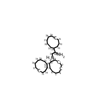 C1CCCCCCCCC1.C1CCCCCCCCC1.NCC(N)C1CCCCCCCCC1